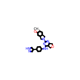 COc1ccc2c(c1)CN(c1nc3c(c(Nc4ccc(-c5cn[nH]c5)cc4)n1)COC3)C2